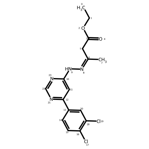 CCOC(=O)CC(C)=NNc1cc(-c2ccc(Cl)c(Cl)c2)ncn1